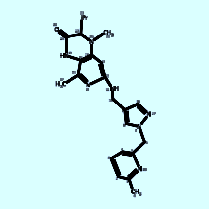 Cc1cccc(Cn2cc(CNc3cc4c(c(C)n3)NC(=O)C(C(C)C)N4C)cn2)n1